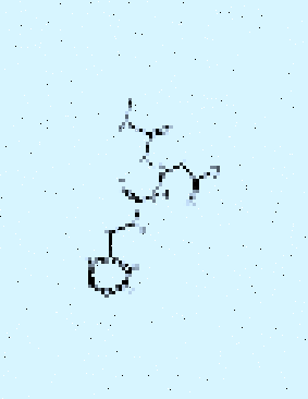 COC(=O)C[C@H](CC(=O)O)NC(=O)OCc1ccccc1